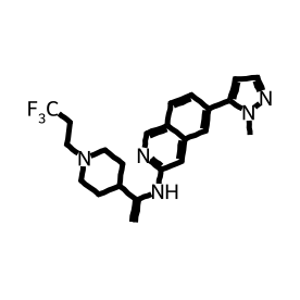 C=C(Nc1cc2cc(-c3ccnn3C)ccc2cn1)C1CCN(CCC(F)(F)F)CC1